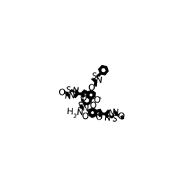 COc1cc(OC(c2nc(N)sc2C)c2c(OC)cc(OCc3csc(C4CCCCC4)n3)c3cc(-c4cn5nc(OC)sc5n4)oc23)c2cc(-c3cn4nc(OC)sc4n3)oc2c1